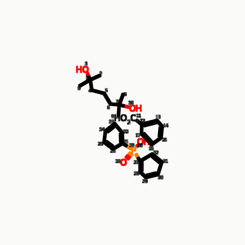 CC(C)(O)CCCC(C)(C)O.O=C(O)c1ccccc1.O=P(O)(c1ccccc1)c1ccccc1